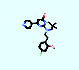 COc1cc(F)ccc1CCN1CC(C)(C)Cn2c1nc(-c1ccncc1)cc2=O